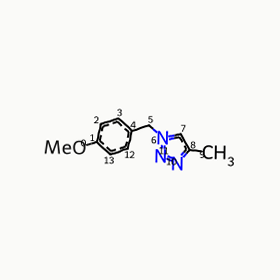 COc1ccc(Cn2cc(C)nn2)cc1